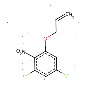 C=CCOc1cc(F)cc(F)c1[N+](=O)[O-]